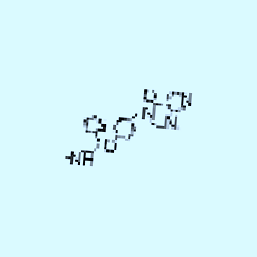 CNCCC(Oc1ccc(CN2CCN(C)c3cnccc3C2=O)cc1)c1cccs1